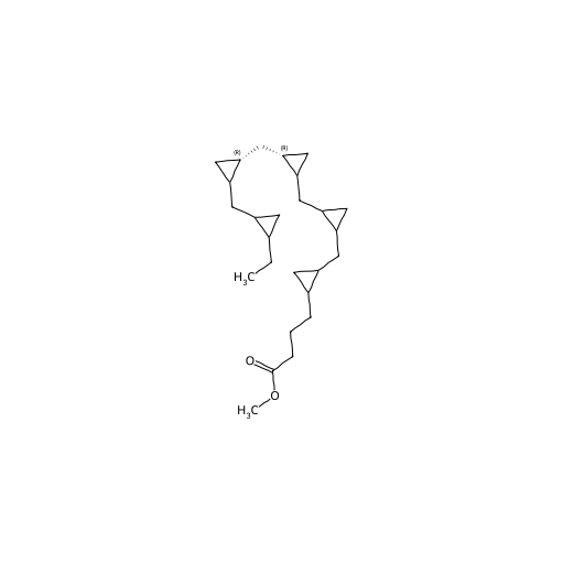 CCC1CC1CC1C[C@@H]1C[C@@H]1CC1CC1CC1CC1CC1CCCC(=O)OC